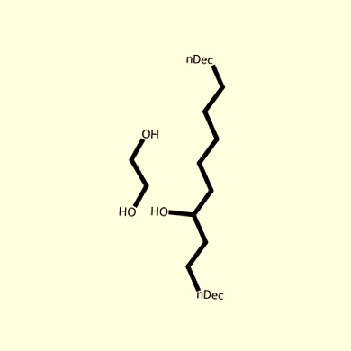 CCCCCCCCCCCCCCCC(O)CCCCCCCCCCCC.OCCO